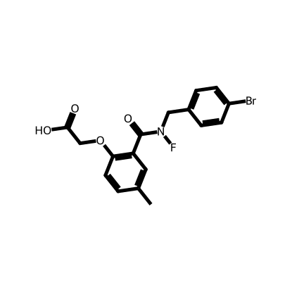 Cc1ccc(OCC(=O)O)c(C(=O)N(F)Cc2ccc(Br)cc2)c1